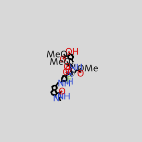 COC(=O)CC[C@H](NC(=O)c1ccc(NCc2ccc3ccc4nc(C)[nH]c(=O)c4c3c2)cc1F)C(=O)N[C@@H](Cc1ccc(O)c(C(=O)OC)c1)C(=O)OC